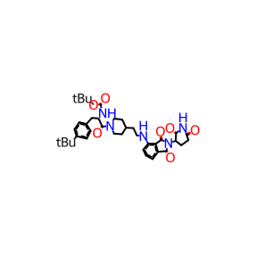 CC(C)(C)OC(=O)NC(Cc1ccc(C(C)(C)C)cc1)C(=O)N1CCC(CCNc2cccc3c2C(=O)N(C2CCC(=O)NC2=O)C3=O)CC1